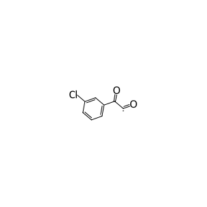 O=[C]C(=O)c1cccc(Cl)c1